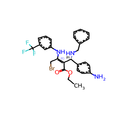 CCOC(=O)/C(=C(\CBr)Nc1cccc(C(F)(F)F)c1)[C@H](NCc1ccccc1)c1ccc(N)cc1